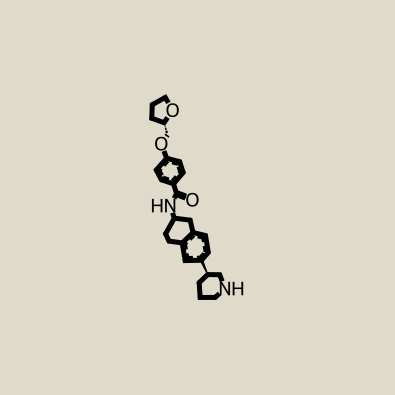 O=C(NC1CCc2cc([C@@H]3CCCNC3)ccc2C1)c1ccc(OC[C@@H]2CCCO2)cc1